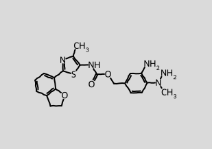 Cc1nc(-c2cccc3c2OCC3)sc1NC(=O)OCc1ccc(N(C)N)c(N)c1